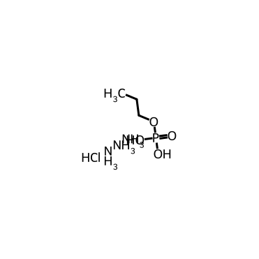 CCCOP(=O)(O)O.Cl.N.N.N